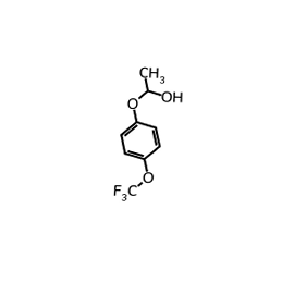 CC(O)Oc1ccc(OC(F)(F)F)cc1